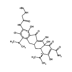 CCCCNCC(=O)Nc1c(O)c2c(c(N(C)C)c1Cl)CC1CC3[C@H](N(C)C)C(O)=C(C(N)=O)C(=O)C3(O)C(O)=C1C2=O